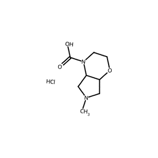 CN1CC2OCCN(C(=O)O)C2C1.Cl